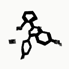 Cc1ccc2c(N3CCNCC3)nc(-c3ccccc3O)nc2c1.Cl